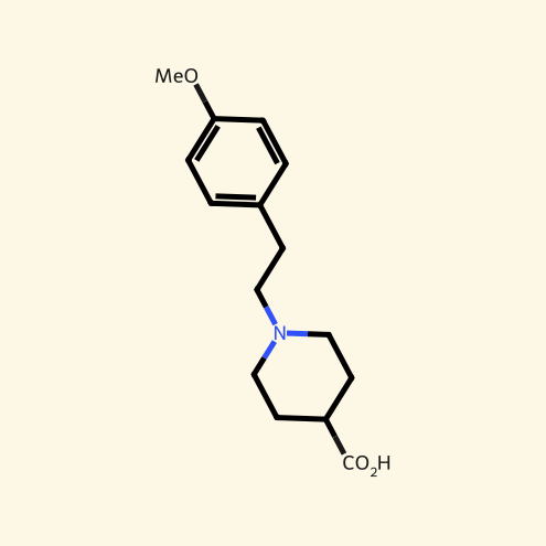 COc1ccc(CCN2CCC(C(=O)O)CC2)cc1